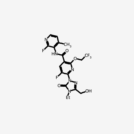 CCn1c(CO)nn(-c2nc(OCC(F)(F)F)c(C(=O)Nc3c(C)ccnc3F)cc2F)c1=O